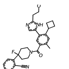 COCCc1ncc(-c2cc(C(=O)N3CCC(F)(c4ccccc4C#N)CC3)c(C)cc2C2CCC2)[nH]1